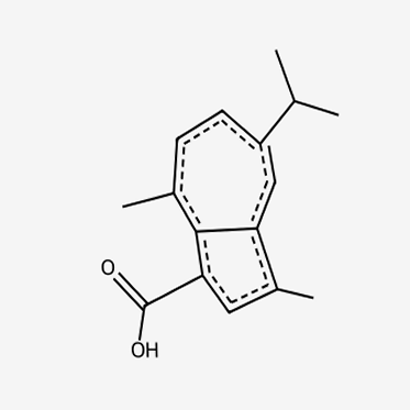 Cc1cc(C(=O)O)c2c(C)ccc(C(C)C)cc1-2